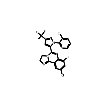 FC(F)(F)c1cc(C2=Nc3c(Cl)cc(Cl)cc3C3=NCCN32)n(-c2ncccc2Cl)n1